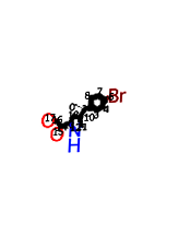 C[C@H](c1ccc(Br)cc1)[C@@]1(C)CNC(C(=O)C=O)C1